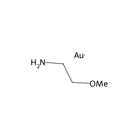 COCCN.[Au]